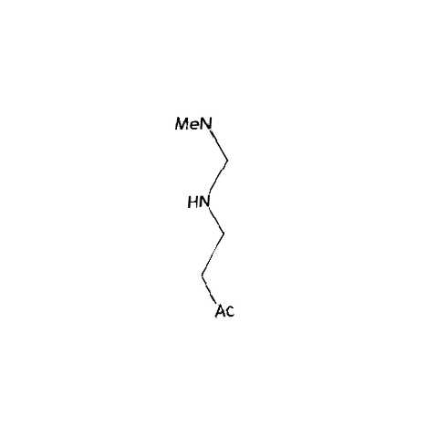 CNCNCCC(C)=O